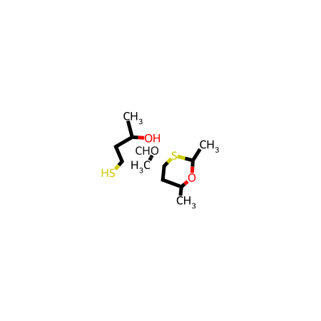 CC(O)CCS.CC1CCSC(C)O1.CC=O